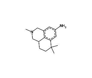 CN1Cc2cc(N)cc3c2C(CCC3(C)C)C1